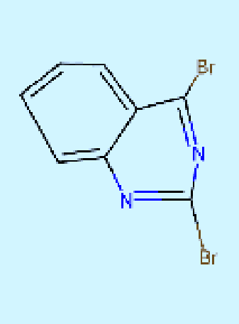 Brc1nc(Br)c2ccccc2n1